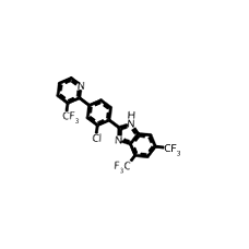 FC(F)(F)c1cc(C(F)(F)F)c2nc(-c3ccc(-c4ncccc4C(F)(F)F)cc3Cl)[nH]c2c1